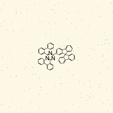 c1ccc(-c2ccccc2-c2nc(-c3ccc4c(c3)C3(c5ccccc5-c5ccccc53)c3ccccc3-4)nc(-c3ccccc3-c3ccccc3)n2)cc1